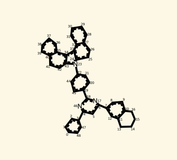 c1ccc(-c2cc(-c3ccc4c(c3)CCCC4)nc(-c3ccc(-n4c5ccc6ccccc6c5c5c6ccccc6ccc54)cc3)n2)cc1